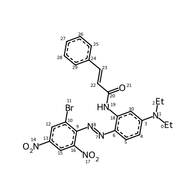 CCN(CC)c1ccc(N=Nc2c(Br)cc([N+](=O)[O-])cc2[N+](=O)[O-])c(NC(=O)C=Cc2ccccc2)c1